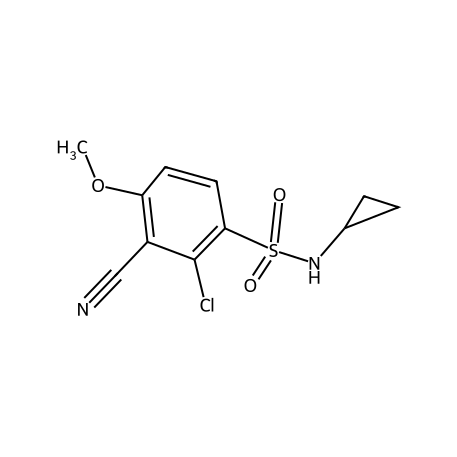 COc1ccc(S(=O)(=O)NC2CC2)c(Cl)c1C#N